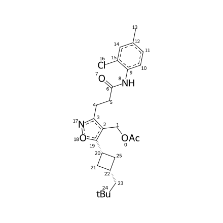 CC(=O)OCc1c(CCC(=O)Nc2ccc(C)cc2Cl)noc1[C@H]1C[C@@H](CC(C)(C)C)C1